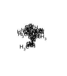 C=C[C@@H]1C[C@]1(NC(=O)[C@@H]1C[C@@H](Oc2cc(-c3csc(NC(C)C)n3)nc3cc(OC)ccc23)CN1C(=O)C(NC(=O)OC1CCCC1)C(C)(C)C)P(=O)(O)Cc1cncnc1